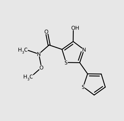 CON(C)C(=O)c1sc(-c2cccs2)nc1O